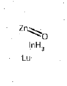 [InH3].[Lu].[O]=[Zn]